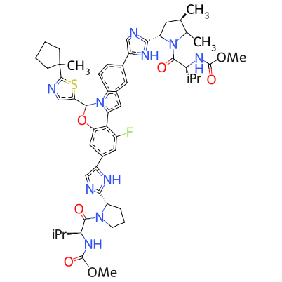 COC(=O)N[C@H](C(=O)N1CCC[C@H]1c1ncc(-c2cc(F)c3c(c2)OC(c2cnc(C4(C)CCCC4)s2)n2c-3cc3cc(-c4cnc([C@@H]5C[C@@H](C)C(C)N5C(=O)[C@@H](NC(=O)OC)C(C)C)[nH]4)ccc32)[nH]1)C(C)C